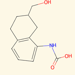 O=C(O)Nc1cccc2c1CC(CO)CC2